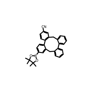 CC1(C)OB(c2ccc3c(c2)Cc2ccccc2-c2ccccc2Cc2cc(C#N)ccc2-3)OC1(C)C